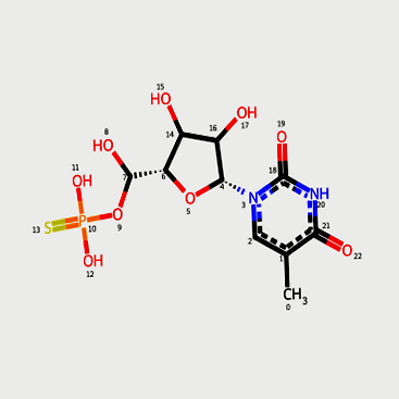 Cc1cn([C@@H]2O[C@H](C(O)OP(O)(O)=S)C(O)C2O)c(=O)[nH]c1=O